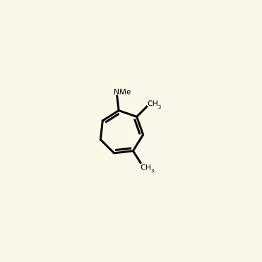 CNC1=CCC=C(C)C=C1C